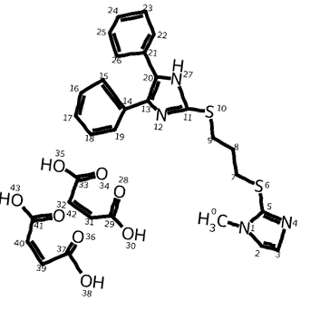 Cn1ccnc1SCCCSc1nc(-c2ccccc2)c(-c2ccccc2)[nH]1.O=C(O)/C=C\C(=O)O.O=C(O)/C=C\C(=O)O